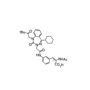 CC(=O)N/C(=C/c1cccc(NC(=O)CN2N=C(C3CCCCC3)c3ccccc3N(CC(=O)C(C)(C)C)C2=O)c1)C(=O)O